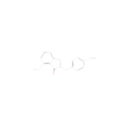 COc1ccc(CN2Cc3cccc(C(=O)O)c3C2=O)cc1